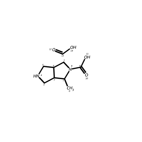 CC1C2CNCC2CN1C(=O)O.O=CO